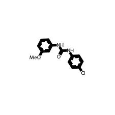 COc1cccc(NC(=O)Nc2ccc(Cl)cc2)c1